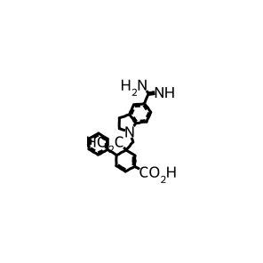 N=C(N)c1ccc2c(c1)CCN2CC1(C(=O)O)C=C(C(=O)O)C=CC1c1ccccc1